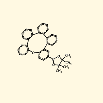 CC1(C)OB(c2ccc3c(c2)-c2ccccc2-c2ccccc2-c2ccccc2-c2ccccc2O3)OC1(C)C